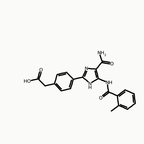 Cc1ccccc1C(=O)Nc1[nH]c(-c2ccc(CC(=O)O)cc2)nc1C(N)=O